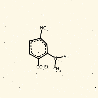 CCOC(=O)c1ccc([N+](=O)[O-])cc1N(C)C(C)=O